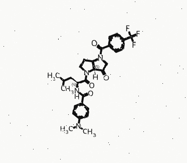 CC(C)C[C@H](NC(=O)c1ccc(N(C)C)cc1)C(=O)N1CCC2[C@H]1C(=O)CN2C(=O)c1ccc(C(F)(F)F)cc1